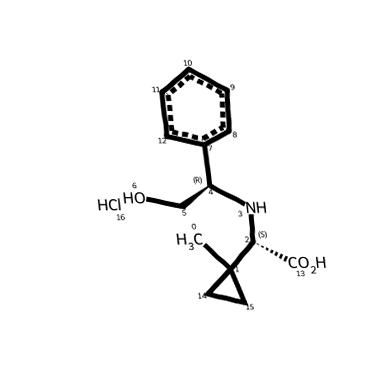 CC1([C@H](N[C@@H](CO)c2ccccc2)C(=O)O)CC1.Cl